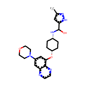 OC(N[C@H]1CC[C@@H](Oc2cc(N3CCOCC3)cc3nccnc23)CC1)c1cc(C(F)(F)F)n[nH]1